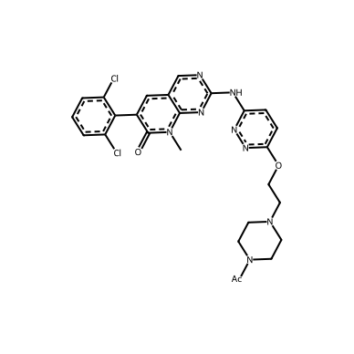 CC(=O)N1CCN(CCOc2ccc(Nc3ncc4cc(-c5c(Cl)cccc5Cl)c(=O)n(C)c4n3)nn2)CC1